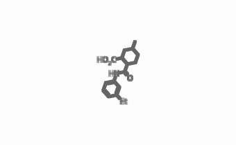 CCc1cccc(NC(=O)C2CCC(C)CC2C(=O)O)c1